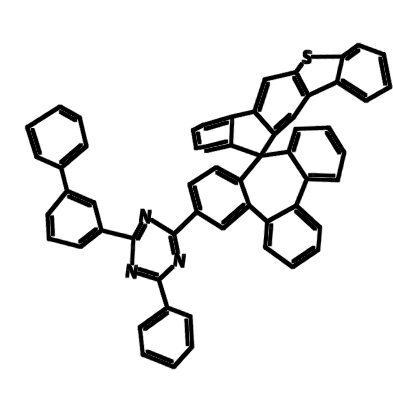 c1ccc(-c2cccc(-c3nc(-c4ccccc4)nc(-c4ccc5c(c4)-c4ccccc4-c4ccccc4C54c5ccccc5-c5cc6sc7ccccc7c6cc54)n3)c2)cc1